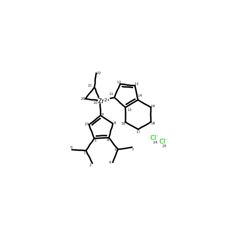 CC(C)C1=C(C(C)C)C[C]([Zr+2]2([CH]3C=CC4=C3CCCC4)[CH2][CH]2C)=C1.[Cl-].[Cl-]